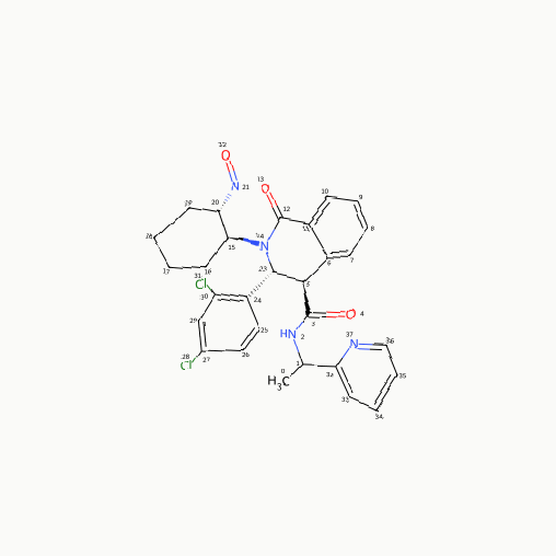 CC(NC(=O)[C@@H]1c2ccccc2C(=O)N([C@H]2CCCC[C@@H]2N=O)[C@H]1c1ccc(Cl)cc1Cl)c1ccccn1